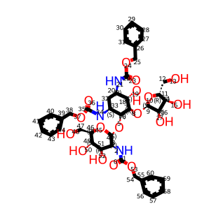 O=C(N[C@H]1[C@@H](O[C@H]2[C@H](O[C@@H]3O[C@H](CO)[C@@H](O)[C@H]3O)[C@@H](O)[C@H](NC(=O)OCc3ccccc3)C[C@@H]2NC(=O)OCc2ccccc2)O[C@H](CO)[C@@H](O)[C@@H]1O)OCc1ccccc1